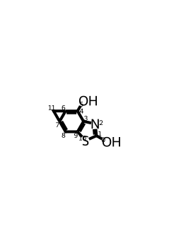 Oc1nc2c(O)c3c(cc2s1)C3